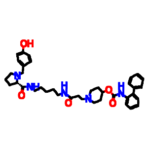 O=C(CCN1CCC(OC(=O)Nc2ccccc2-c2ccccc2)CC1)NCCCCCNC(=O)[C@@H]1CCCN1Cc1ccc(O)cc1